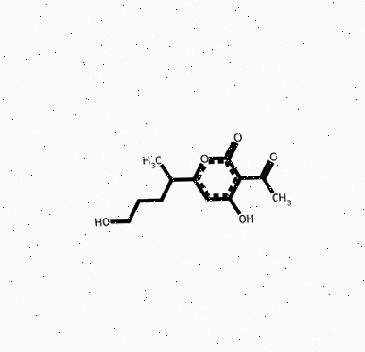 CC(=O)c1c(O)cc(C(C)CCCO)oc1=O